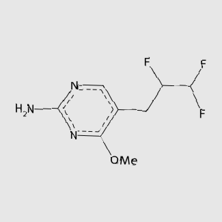 COc1nc(N)ncc1CC(F)C(F)F